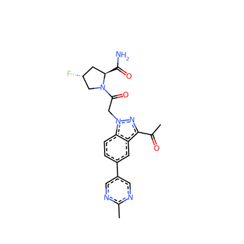 CC(=O)c1nn(CC(=O)N2C[C@H](F)C[C@H]2C(N)=O)c2ccc(-c3cnc(C)nc3)cc12